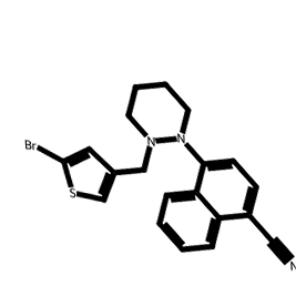 N#Cc1ccc(N2CCCCN2Cc2csc(Br)c2)c2ccccc12